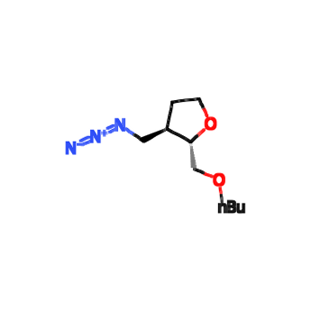 CCCCOC[C@H]1OCC[C@@H]1CN=[N+]=[N-]